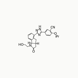 CC(C)Oc1ccc(-c2nc(-c3cccc4c3C[C@@H]3CC(=O)N(CCO)[C@H]43)n[nH]2)cc1C#N